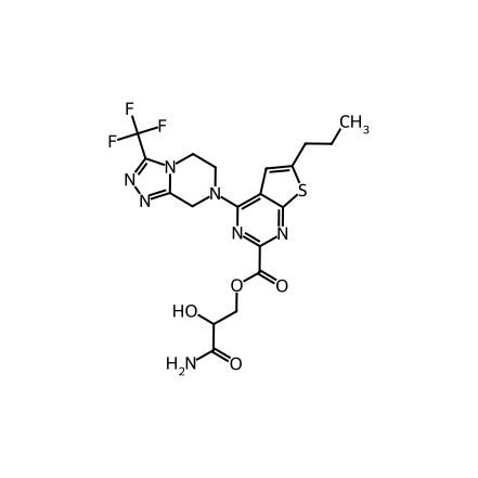 CCCc1cc2c(N3CCn4c(nnc4C(F)(F)F)C3)nc(C(=O)OCC(O)C(N)=O)nc2s1